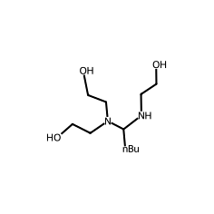 CCCCC(NCCO)N(CCO)CCO